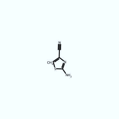 C.N#Cc1csc(N)n1